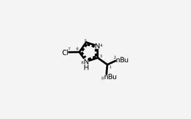 CCCCC(CCCC)c1ncc(Cl)[nH]1